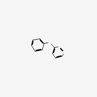 c1ccc(Oc2cccnn2)cc1